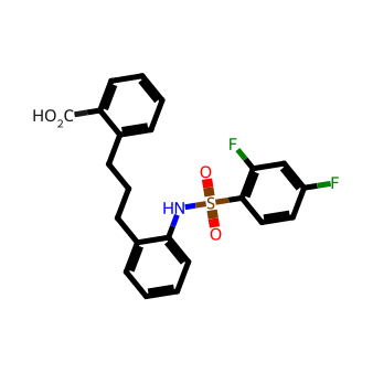 O=C(O)c1ccccc1CCCc1ccccc1NS(=O)(=O)c1ccc(F)cc1F